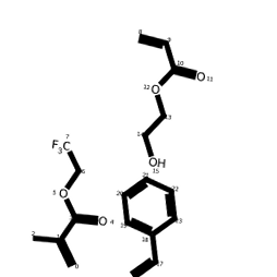 C=C(C)C(=O)OCC(F)(F)F.C=CC(=O)OCCO.C=Cc1ccccc1